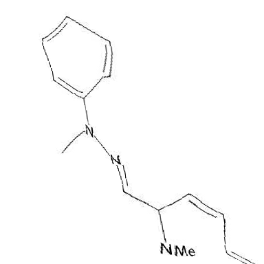 C=C/C=C\C(/C=N/N(C)c1ccccc1)NC